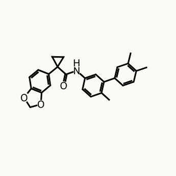 Cc1ccc(-c2cc(NC(=O)C3(c4ccc5c(c4)OCO5)CC3)ccc2C)cc1C